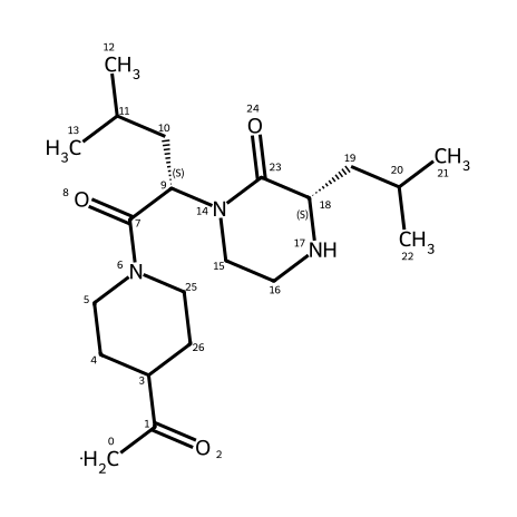 [CH2]C(=O)C1CCN(C(=O)[C@H](CC(C)C)N2CCN[C@@H](CC(C)C)C2=O)CC1